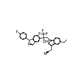 CCc1ccc2c(c1)c(CC#N)cn2CC(O)(c1ccc2c(c1)C=NC2c1ccc(F)cc1)C(F)(F)F